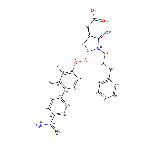 Cc1c(OC[C@@H]2C[C@@H](CC(=O)O)C(=O)N2CCCc2ccccc2)ccc(-c2ccc(C(=N)N)cc2)c1C